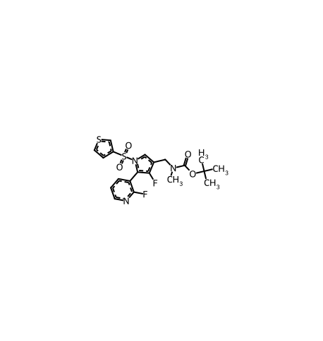 CN(Cc1cn(S(=O)(=O)c2ccsc2)c(-c2cccnc2F)c1F)C(=O)OC(C)(C)C